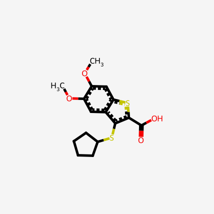 COc1cc2sc(C(=O)O)c(SC3CCCC3)c2cc1OC